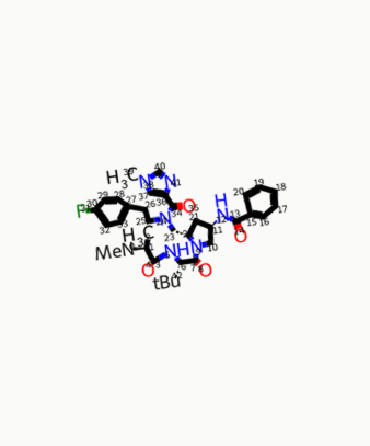 CN[C@@H](C)C(=O)N[C@H](C(=O)N1C[C@@H](NC(=O)c2ccccc2)C[C@H]1CN(CCc1ccc(F)cc1)C(=O)c1cn(C)cn1)C(C)(C)C